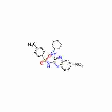 Cc1ccc(S(=O)(=O)Nc2nc3ccc([N+](=O)[O-])cc3nc2NC2CCCCC2)cc1